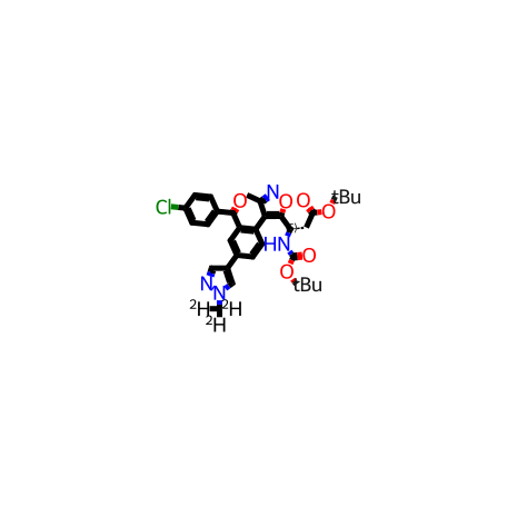 [2H]C([2H])([2H])n1cc(-c2ccc(-c3c(C)noc3[C@H](CC(=O)OC(C)(C)C)NC(=O)OC(C)(C)C)c(C(=O)c3ccc(Cl)cc3)c2)cn1